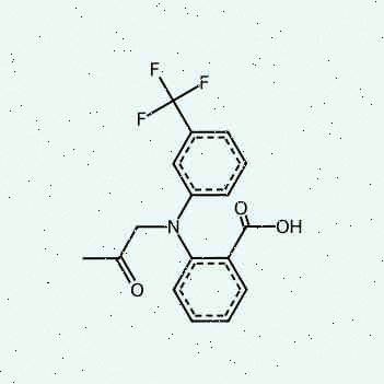 CC(=O)CN(c1cccc(C(F)(F)F)c1)c1ccccc1C(=O)O